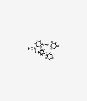 O=C(O)c1cccc(C#Cc2ccccc2)c1-n1cc(-c2ccccc2)nn1